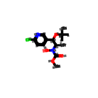 CCC[C@H]([C@H](O[Si](C)(C)C(C)(C)C)c1ccc(Cl)nc1)N(O)C(=O)OC(C)(C)C